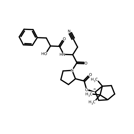 CC1(C)C2CCC1(C)[C@H](OC(=O)C1CCCN1C(=O)C(CC#N)NC(=O)C(O)Cc1ccccc1)C2